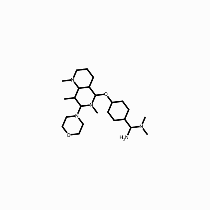 CC1C2C(CCCN2C)C(OC2CCC(C(N)N(C)C)CC2)N(C)C1N1CCOCC1